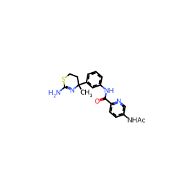 CC(=O)Nc1ccc(C(=O)Nc2cccc(C3(C)CCSC(N)=N3)c2)nc1